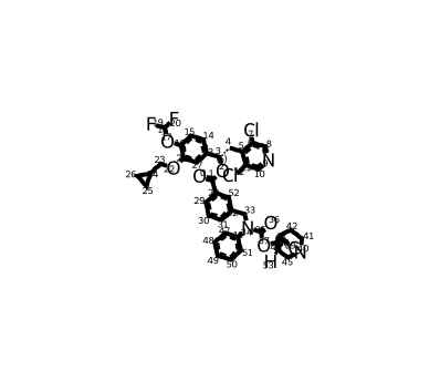 O=C(O[C@@H](Cc1c(Cl)cncc1Cl)c1ccc(OC(F)F)c(OCC2CC2)c1)c1cccc(CN(C(=O)O[C@H]2CN3CCC2CC3)c2ccccc2)c1